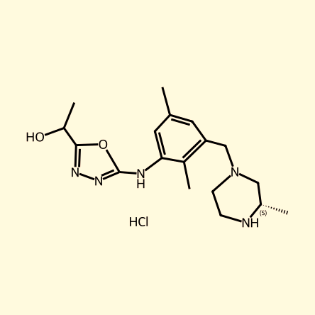 Cc1cc(CN2CCN[C@@H](C)C2)c(C)c(Nc2nnc(C(C)O)o2)c1.Cl